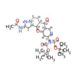 CC(=O)Nc1cc2n(n1)CCC(C(=O)c1ccc(N(C(=O)OC(C)(C)C)C(=O)OC(C)(C)C)nc1)C2=O